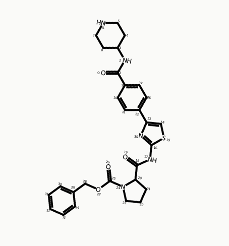 O=C(NC1CCNCC1)c1ccc(-c2csc(NC(=O)C3CCCN3C(=O)OCc3ccccc3)n2)cc1